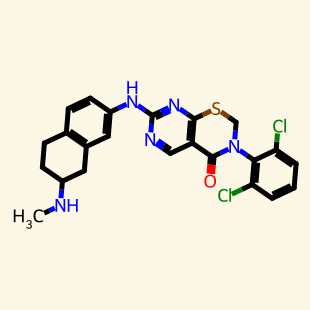 CNC1CCc2ccc(Nc3ncc4c(n3)SCN(c3c(Cl)cccc3Cl)C4=O)cc2C1